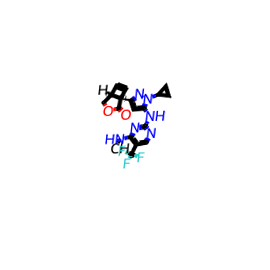 CNc1nc(Nc2cc([C@]34C#C[C@H]3COC4=O)nn2C2CC2)ncc1C(F)(F)F